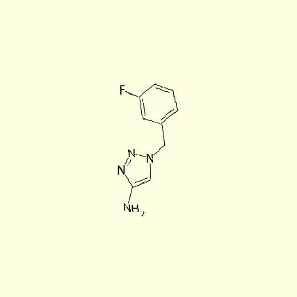 Nc1cn(Cc2cccc(F)c2)nn1